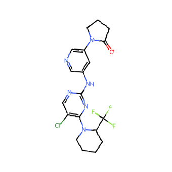 O=C1CCCN1c1cncc(Nc2ncc(Cl)c(N3CCCCC3C(F)(F)F)n2)c1